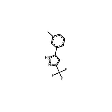 Cc1cccc(-c2[c]c(C(F)(F)F)n[nH]2)c1